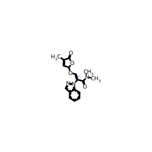 CC1=CC(O/C=C(/C(=O)N(C)C)n2ncc3ccccc32)OC1=O